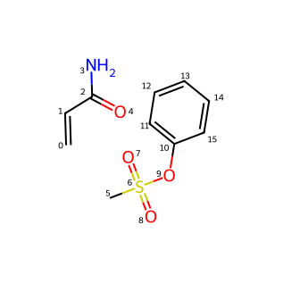 C=CC(N)=O.CS(=O)(=O)Oc1ccccc1